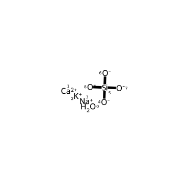 O.[Ca+2].[K+].[Na+].[O-][Si]([O-])([O-])[O-]